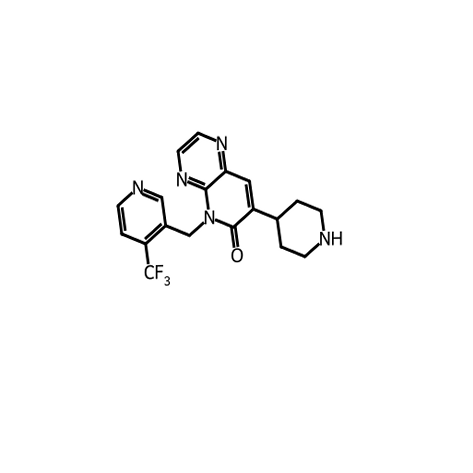 O=c1c(C2CCNCC2)cc2nccnc2n1Cc1cnccc1C(F)(F)F